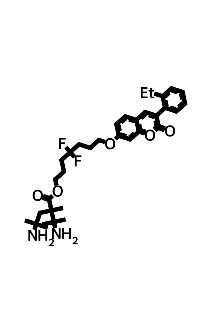 CCc1ccccc1-c1cc2ccc(OCCCC(F)(F)CCCOC(=O)C(C)(CC(C)(C)N)C(C)(C)N)cc2oc1=O